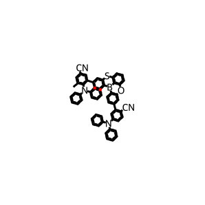 Cc1cc(C#N)cc(-c2ccc3c(c2)Sc2cccc4c2B3c2ccc(-c3cc(N(c5ccccc5)c5ccccc5)ccc3C#N)cc2O4)c1N(c1ccccc1)c1ccccc1